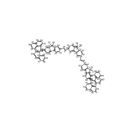 CC1(C)c2cc(/C=C/c3ccc4c(c3)-c3cc(/C=C/c5ccc6c(c5)C(C)(C)c5cc(N(c7cccc8ccccc78)c7cccc8ccccc78)ccc5-6)ccc3S4(C)C)ccc2-c2ccc(N(c3cccc4ccccc34)c3cccc4ccccc34)cc21